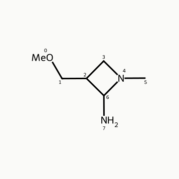 COCC1CN(C)C1N